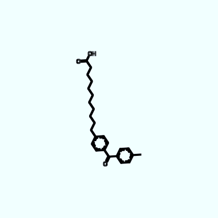 Cc1ccc(C(=O)c2ccc(CCCCCCCCCCC(=O)O)cc2)cc1